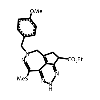 CCOC(=O)C1CC2=C3C(=NNN=C31)C(SC)=NN(Cc1ccc(OC)cc1)C2